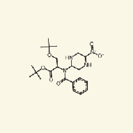 CC(C)(C)OCC(C(=O)OC(C)(C)C)N(C(=O)c1ccccc1)C1CNC([N+](=O)[O-])CN1